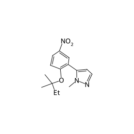 [CH2]CC(C)(C)Oc1ccc([N+](=O)[O-])cc1-c1ccnn1C